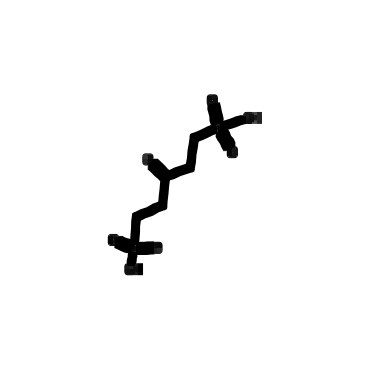 O=C(CCS(=O)(=O)O)CCS(=O)(=O)O